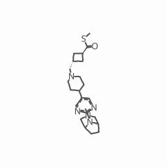 CSC(=O)[C@H]1C[C@H](CN2CCC(c3cnc(N4C5CCC4CN(C)C5)nc3)CC2)C1